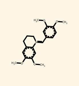 COc1ccc(C=[N+]2CCCc3cc(OC)c(OC)cc32)cc1OC